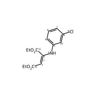 CCOC(=O)/C=C(/Nc1cccc(Cl)c1)C(=O)OCC